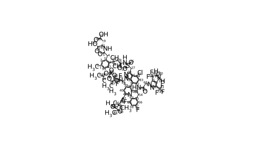 Cc1cc(CC(=O)N[C@@H](CC(=O)O)C(=O)O)c(C(C)(C)CC(=O)NS(=O)(=O)Cc2nn(CC(F)(F)F)c3c(-c4ccc(C#CC(C)(C)S(C)(=O)=O)nc4[C@H](Cc4cc(F)cc(F)c4)NC(=O)Cn4nc(C(F)(F)F)c5c4C(F)(F)[C@@H]4C[C@H]54)ccc(Cl)c23)c(OP(=O)(OC(C)C)OC(C)C)c1